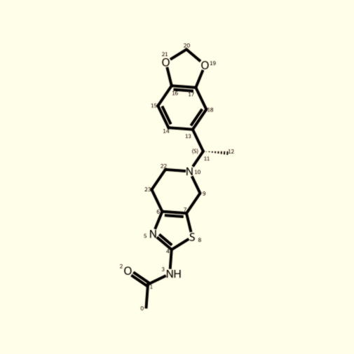 CC(=O)Nc1nc2c(s1)CN([C@@H](C)c1ccc3c(c1)OCO3)CC2